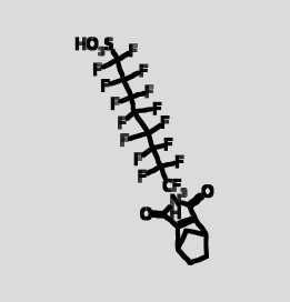 O=C1NC(=O)C2=C1C1CCC2C1.O=S(=O)(O)C(F)(F)C(F)(F)C(F)(F)C(F)(F)C(F)(F)C(F)(F)C(F)(F)C(F)(F)F